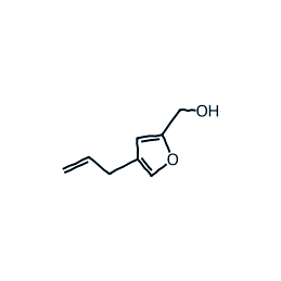 C=CCc1coc(CO)c1